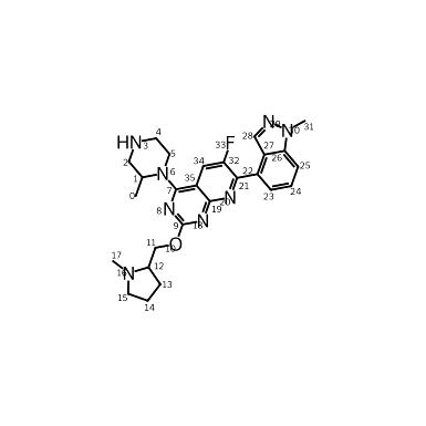 CC1CNCCN1c1nc(OCC2CCCN2C)nc2nc(-c3cccc4c3cnn4C)c(F)cc12